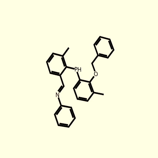 Cc1cccc(Pc2c(C)cccc2/C=N/c2ccccc2)c1OCc1ccccc1